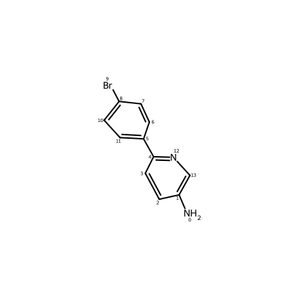 Nc1ccc(-c2ccc(Br)cc2)nc1